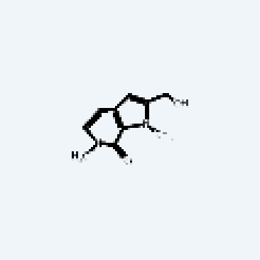 Cn1ccc2cc(CO)n(C)c2c1=O